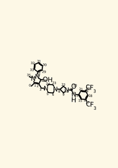 CC1=C(CN2CCN(C3CN(C(=O)Nc4cc(C(F)(F)F)cc(C(F)(F)F)c4)C3)CC2)C(O)N(c2ccccc2)N1C